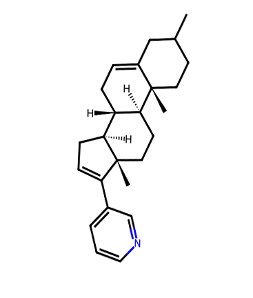 CC1CC[C@@]2(C)C(=CC[C@@H]3[C@@H]2CC[C@]2(C)C(c4cccnc4)=CC[C@@H]32)C1